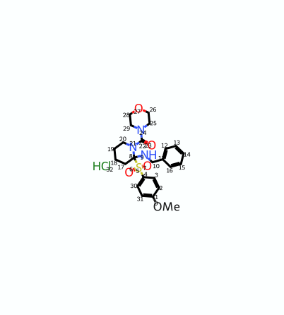 COc1ccc(S(=O)(=O)C2(NCc3ccccc3)CCCCN2C(=O)N2CCOCC2)cc1.Cl